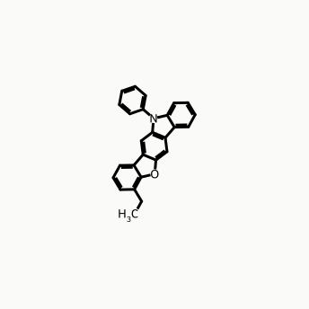 CCc1cccc2c1oc1cc3c4ccccc4n(-c4ccccc4)c3cc12